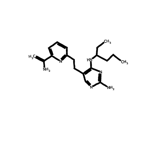 C=C(N)c1cccc(CCc2cnc(N)nc2NC(CC)CCC)n1